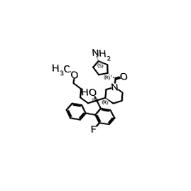 COCCCC[C@@](O)(c1cccc(F)c1-c1ccccc1)[C@@H]1CCCN(C(=O)[C@@H]2CC[C@H](N)C2)C1